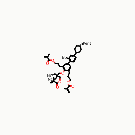 C=C(C)C(=O)OCCCc1cc(-c2ccc(C3CCC(CCCCC)CC3)cc2CC)cc(CCCOC(=O)C(=C)C)c1OCC(CC#N)(CC#N)COC(=O)C(=C)C